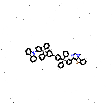 c1ccc([Si](c2ccccc2)(c2ccc(-c3ccc([Si](c4ccccc4)(c4ccccc4)c4cccc(-n5c6ccccc6c6ccccc65)c4)cc3)cc2)c2cccc(-c3ncnc4c3sc3ccccc34)c2)cc1